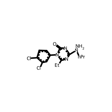 CCCN(N)c1nc(CC)n(-c2ccc(Cl)c(Cl)c2)c(=O)n1